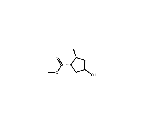 COC(=O)[C@H]1CC(O)C[C@@H]1C